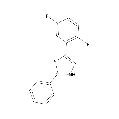 Fc1ccc(F)c(C2=NN[C](c3ccccc3)S2)c1